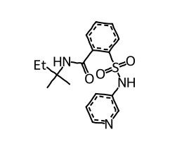 CCC(C)(C)NC(=O)c1ccccc1S(=O)(=O)Nc1cccnc1